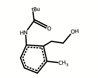 Cc1cccc(NC(=O)C(C)(C)C)c1CCO